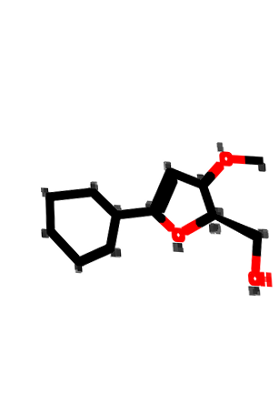 COC1C=C(C2CCCCC2)O[C@@H]1CO